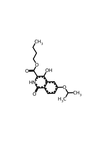 CCCCOC(=O)c1[nH]c(=O)c2ccc(OC(C)C)cc2c1O